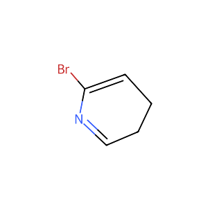 BrC1=CCCC=N1